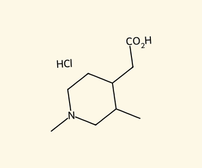 CC1CN(C)CCC1CC(=O)O.Cl